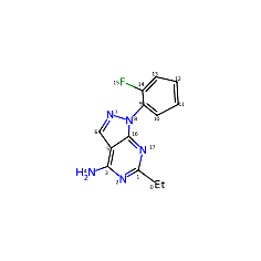 CCc1nc(N)c2cnn(-c3ccccc3F)c2n1